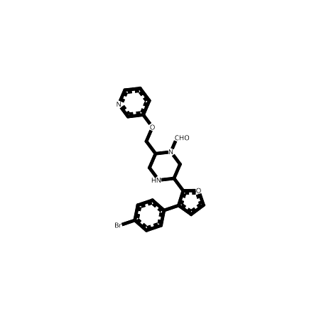 O=CN1CC(c2occc2-c2ccc(Br)cc2)NCC1COc1cccnc1